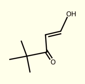 CC(C)(C)C(=O)/C=C/O